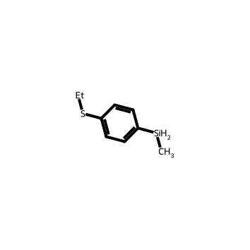 CCSc1ccc([SiH2]C)cc1